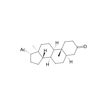 CC(=O)[C@H]1CC[C@H]2[C@@H]3CC[C@@H]4CC(=O)CC[C@@]4(C)[C@@H]3CC[C@]12C